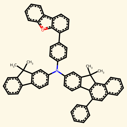 CC1(C)c2ccccc2-c2ccc(N(c3ccc(-c4cccc5c4oc4ccccc45)cc3)c3ccc4c(c3)C(C)(C)c3c-4c(-c4ccccc4)cc4ccccc34)cc21